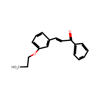 O=C(O)CCOc1cccc(C=CC(=O)c2ccccc2)c1